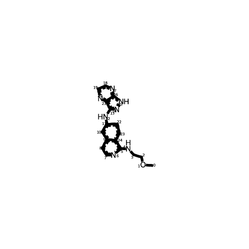 COCCNc1nccc2cc(Nc3n[nH]c4nccnc34)ccc12